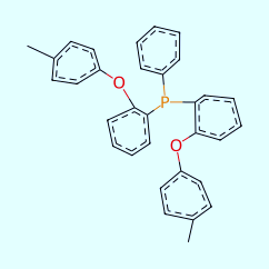 Cc1ccc(Oc2ccccc2P(c2ccccc2)c2ccccc2Oc2ccc(C)cc2)cc1